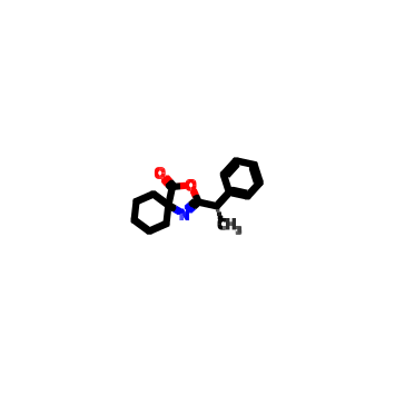 C[C@H](C1=NC2(CCCCC2)C(=O)O1)c1ccccc1